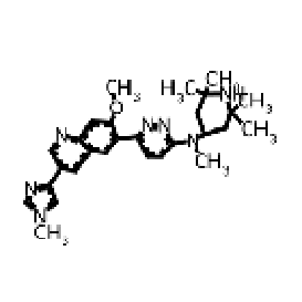 COc1cc2ncc(-c3cn(C)cn3)cc2cc1-c1ccc(N(C)C2CC(C)(C)NC(C)(C)C2)nn1